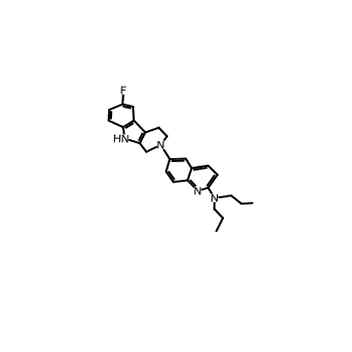 CCCN(CCC)c1ccc2cc(N3CCc4c([nH]c5ccc(F)cc45)C3)ccc2n1